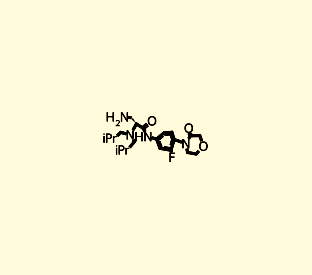 CC(C)CN(CC(C)C)[C@H](CN)C(=O)Nc1ccc(N2CCOCC2=O)c(F)c1